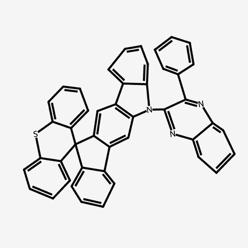 c1ccc(-c2nc3ccccc3nc2-n2c3ccccc3c3cc4c(cc32)-c2ccccc2C42c3ccccc3Sc3ccccc32)cc1